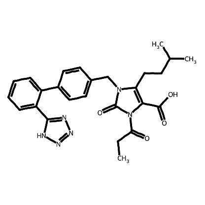 CCC(=O)n1c(C(=O)O)c(CCC(C)C)n(Cc2ccc(-c3ccccc3-c3nnn[nH]3)cc2)c1=O